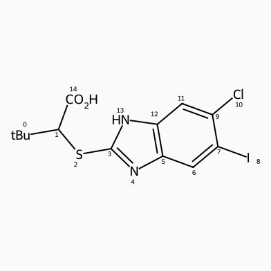 CC(C)(C)C(Sc1nc2cc(I)c(Cl)cc2[nH]1)C(=O)O